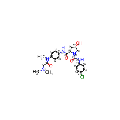 CN(C)CC(=O)N(C)c1ccc(NC(=O)[C@H]2C[C@@H](O)CN2C(=O)Nc2ccc(Cl)cc2)cc1